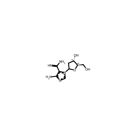 N=C(N)c1c(N)ncn1C1C[C@H](O)[C@@H](CO)O1